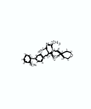 CCCc1nc(C)n(CC2(O)CCOCC2)c(=O)c1Cc1ccc(-c2ccccc2C#N)cc1